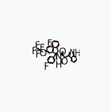 O=C(NC(Cc1ccccc1)(c1ccc(F)cc1)c1cc(F)cc(OC(F)(F)C(F)F)c1)C(=O)c1c[nH]c2ccccc12